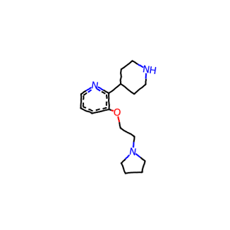 c1cnc(C2CCNCC2)c(OCCN2CCCC2)c1